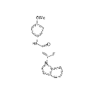 COc1ccc(NC(=O)/C=C(\F)n2ccc3ccccc32)cc1